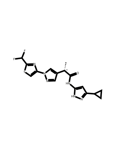 C[C@H](C(=O)Nc1cc(C2CC2)n[nH]1)c1cnn(-c2csc(C(F)F)n2)c1